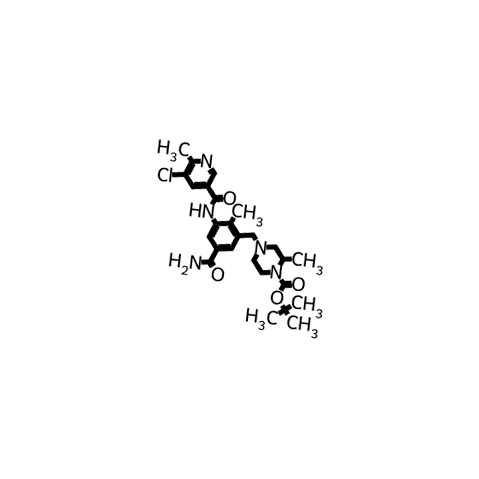 Cc1ncc(C(=O)Nc2cc(C(N)=O)cc(CN3CCN(C(=O)OC(C)(C)C)C(C)C3)c2C)cc1Cl